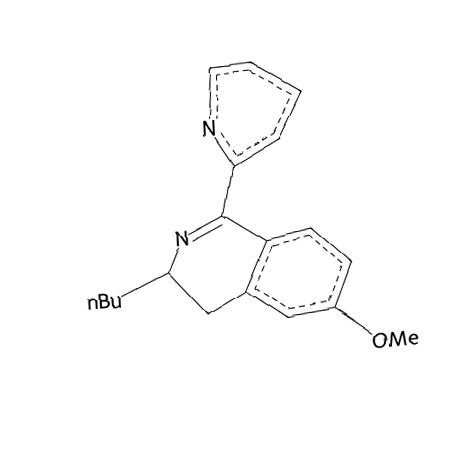 CCCCC1Cc2cc(OC)ccc2C(c2ccccn2)=N1